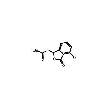 CC(C)(C)C(=O)OC1OC(=O)c2c(Br)cccc21